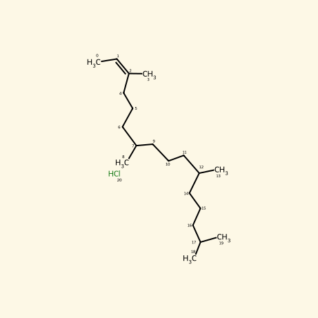 CC=C(C)CCCC(C)CCCC(C)CCCC(C)C.Cl